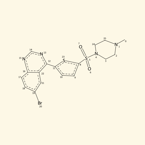 CN1CCN(S(=O)(=O)c2ccc(-c3ncnc4ccc(Br)cc34)s2)CC1